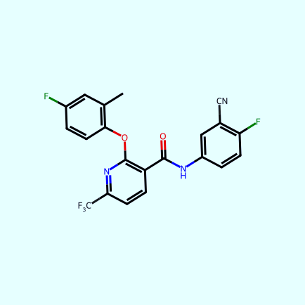 Cc1cc(F)ccc1Oc1nc(C(F)(F)F)ccc1C(=O)Nc1ccc(F)c(C#N)c1